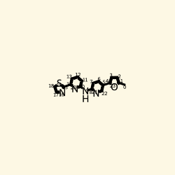 Cc1ccc(-c2ccc(Nc3cccc(-c4nccs4)n3)nc2)o1